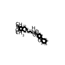 COc1cc2c(cc1OC)CN(CCCNS(=O)(=O)c1ccc3c(c1)oc1ccccc13)CC2